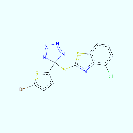 Clc1cccc2sc(SC3(c4ccc(Br)s4)N=NN=N3)nc12